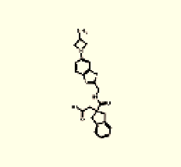 NC1CN(c2ccc3nc(CNC(=O)C4(CC(=O)O)Cc5ccccc5C4)sc3c2)C1